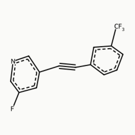 Fc1cncc(C#Cc2cccc(C(F)(F)F)c2)c1